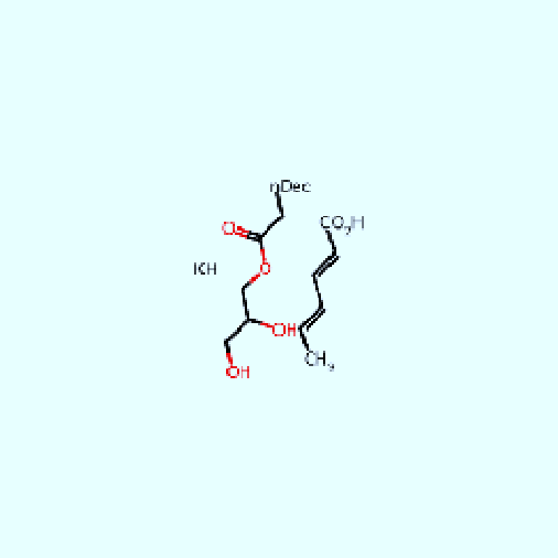 C/C=C/C=C/C(=O)O.CCCCCCCCCCCC(=O)OCC(O)CO.[KH]